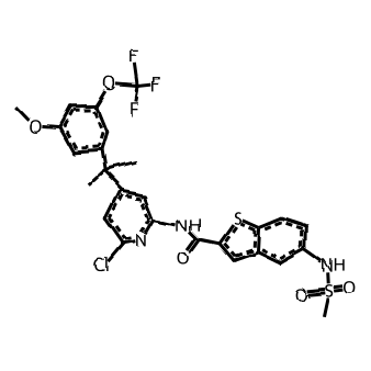 COc1cc(OC(F)(F)F)cc(C(C)(C)c2cc(Cl)nc(NC(=O)c3cc4cc(NS(C)(=O)=O)ccc4s3)c2)c1